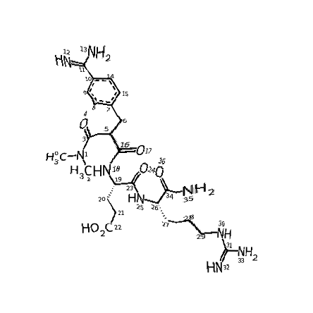 CN(C)C(=O)C(Cc1ccc(C(=N)N)cc1)C(=O)N[C@@H](CCC(=O)O)C(=O)N[C@@H](CCCNC(=N)N)C(N)=O